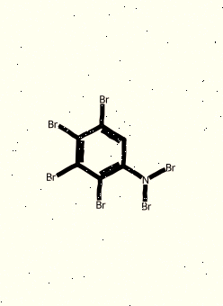 Brc1cc(N(Br)Br)c(Br)c(Br)c1Br